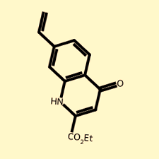 C=Cc1ccc2c(=O)cc(C(=O)OCC)[nH]c2c1